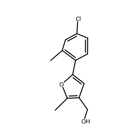 Cc1cc(Cl)ccc1-c1cc(CO)c(C)o1